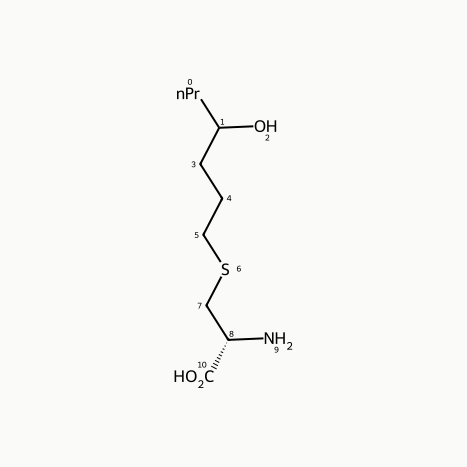 CCCC(O)CCCSC[C@H](N)C(=O)O